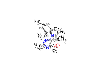 CCC(=O)c1nc(C)nc2c1c(C)c(C)n2-c1c(C)cc(C)cc1C